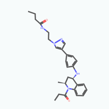 CCCC(=O)NCCn1cc(-c2ccc(N[C@@H]3C[C@H](C)N(C(=O)CC)c4ccccc43)cc2)cn1